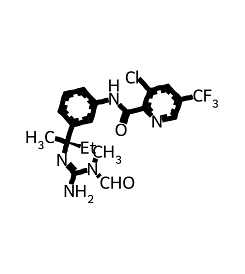 CC[C@](C)(/N=C(/N)N(C)C=O)c1cccc(NC(=O)c2ncc(C(F)(F)F)cc2Cl)c1